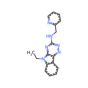 CCn1c2ccccc2c2nnc(NCc3ccccn3)nc21